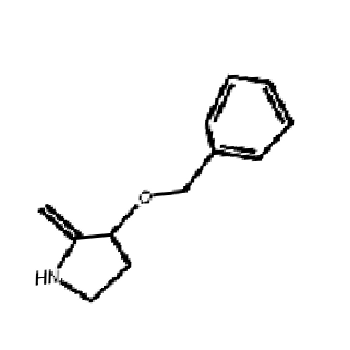 C=C1NCCC1OCc1ccccc1